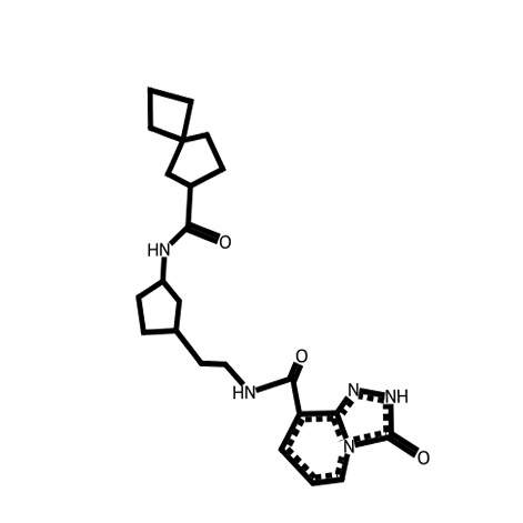 O=C(NCCC1CCC(NC(=O)C2CCC3(CCC3)C2)C1)c1cccn2c(=O)[nH]nc12